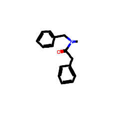 CN(Cc1ccccc1)C(=O)Cc1[c]cccc1